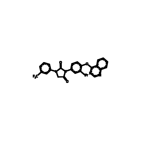 CC(C)c1cc(N2C(=O)CN(c3cccc(C(F)(F)F)c3)C2=O)ccc1Oc1ncnc2ccccc12